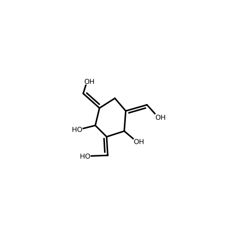 OC=C1CC(=CO)C(O)C(=CO)C1O